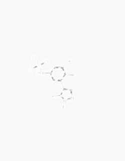 CCS(=O)(=O)Nc1cc(Br)c(F)c(-c2c(C)nn(C)c2C)c1